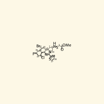 COC(=O)CSNC1CC2=C(/C=C/Br)[C@H](c3ccc(F)cc3Cl)N=C(c3nccs3)N2C1